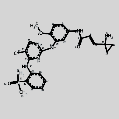 COc1ccc(NC(=O)C=CC2(N)CC2)cc1Nc1ncc(Cl)c(Nc2ccccc2P(C)(C)=O)n1